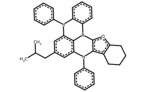 CC(C)Cc1cc2c3c(c1)N(c1ccccc1)c1c(oc4c1CCCC4)B3c1ccccc1N2c1ccccc1